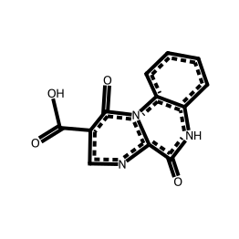 O=C(O)c1cnc2c(=O)[nH]c3ccccc3n2c1=O